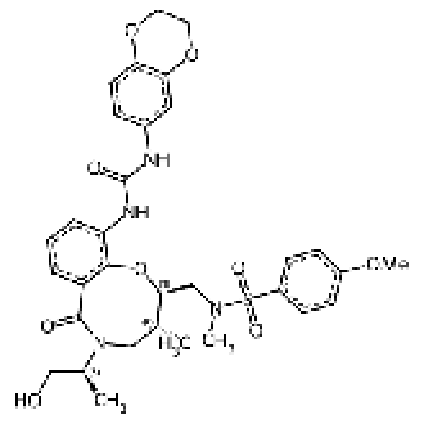 COc1ccc(S(=O)(=O)N(C)C[C@@H]2Oc3c(NC(=O)Nc4ccc5c(c4)OCCO5)cccc3C(=O)N([C@@H](C)CO)C[C@H]2C)cc1